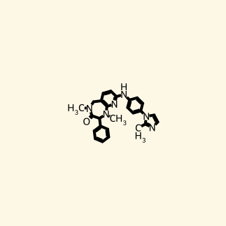 Cc1nccn1-c1ccc(Nc2ccc3c(n2)N(C)C(c2ccccc2)C(=O)N(C)C3)cc1